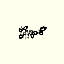 c1ccc(C2NC(c3cccc4c3oc3ccc(-c5cccc6c5oc5ccccc56)cc34)NC(c3cccc4sc5ccccc5c34)N2)cc1